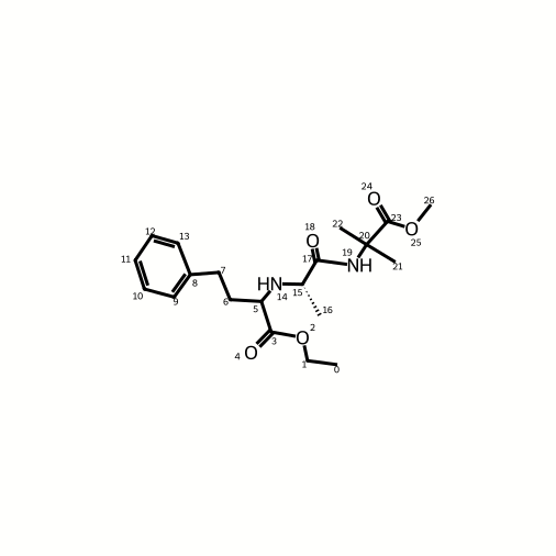 CCOC(=O)C(CCc1ccccc1)N[C@@H](C)C(=O)NC(C)(C)C(=O)OC